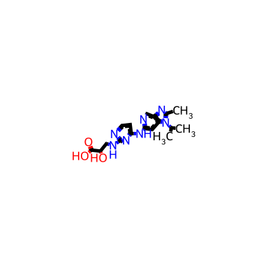 Cc1nc2cnc(Nc3ccnc(NCC(O)C(=O)O)n3)cc2n1C(C)C